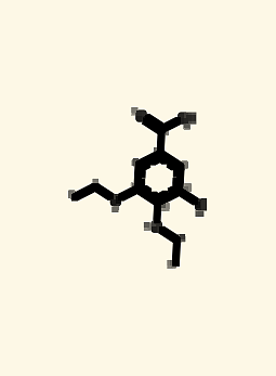 CCOc1cc(C(=O)O)cc(Cl)c1OCC